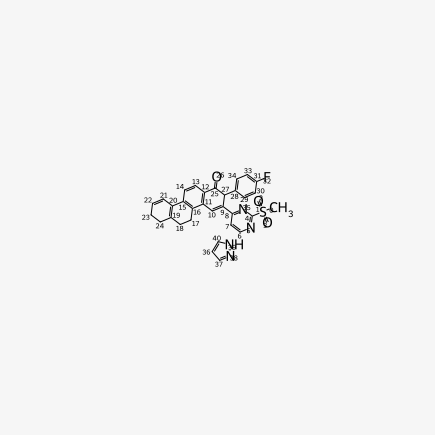 CS(=O)(=O)c1nccc(C2=Cc3c(ccc4c3CCC3=C4C=CCC3)C(=O)C2c2ccc(F)cc2)n1.c1cn[nH]c1